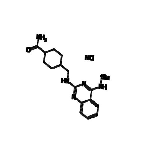 CC(C)(C)Nc1nc(NCC2CCC(C(N)=O)CC2)nc2ccccc12.Cl